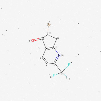 O=C1c2ccc(C(F)(F)F)nc2CC1Br